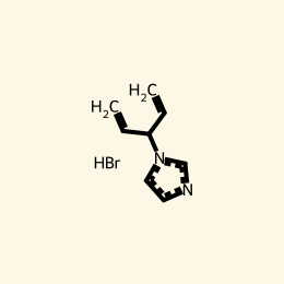 Br.C=CC(C=C)n1ccnc1